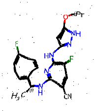 CC(C)Oc1cc(Nc2nc(N[C@@H](C)c3ccc(F)cc3)c(C#N)cc2F)n[nH]1